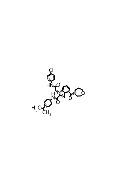 CC(C)N1CCC(NC(=O)c2nc3c(C(=O)N4CCCOCC4)cccc3n2CC(=O)Nc2ccc(Cl)cn2)CC1